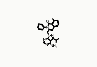 Cc1cccc2cc(CN3N=C(C(C)C)C4C(N)=NC=NC43)n(-c3ccccc3)c(=O)c12